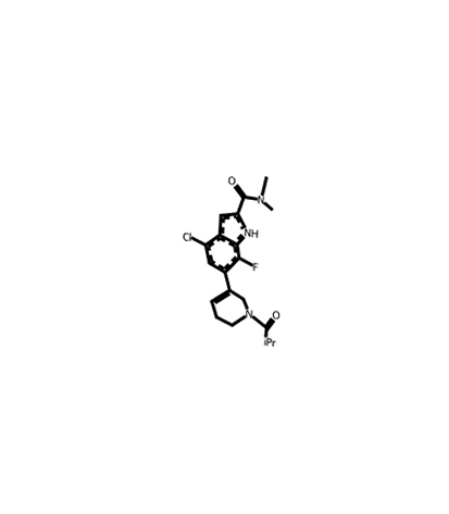 CC(C)C(=O)N1CCC=C(c2cc(Cl)c3cc(C(=O)N(C)C)[nH]c3c2F)C1